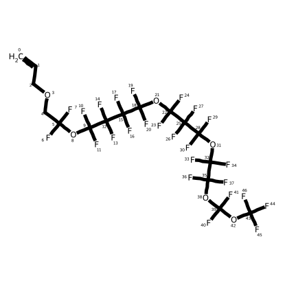 C=CCOCC(F)(F)OC(F)(F)C(F)(F)C(F)(F)C(F)(F)OC(F)(F)C(F)(F)C(F)(F)OC(F)(F)C(F)(F)OC(F)(F)OC(F)(F)F